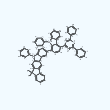 CC1(C)c2ccccc2-c2cc3c4cc(-c5ccc(-c6nc(-c7ccccc7)nc(-c7ccccc7)n6)c6c7ccccc7n(-c7ccccc7)c56)ccc4n(-c4ccccc4)c3cc21